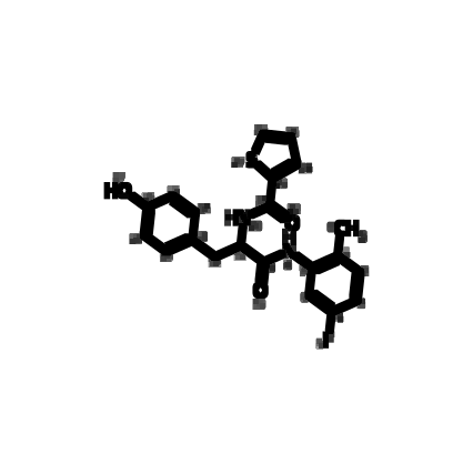 Cc1ccc(F)cc1NC(=O)C(Cc1ccc(O)cc1)NC(=O)c1cccs1